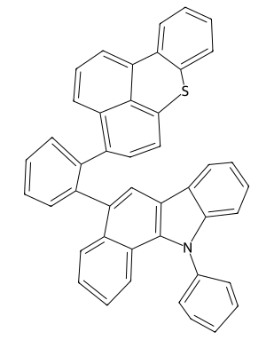 c1ccc(-n2c3ccccc3c3cc(-c4ccccc4-c4ccc5c6c(cccc46)-c4ccccc4S5)c4ccccc4c32)cc1